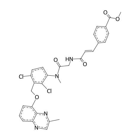 COC(=O)c1ccc(C=CC(=O)NCC(=O)N(C)c2ccc(Cl)c(COc3cccc4ncc(C)nc34)c2Cl)cc1